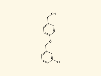 OCc1ccc(OCc2cccc(Cl)c2)cc1